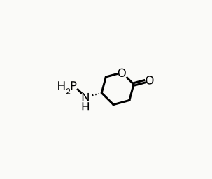 O=C1CC[C@H](NP)CO1